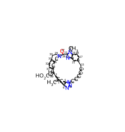 Cc1c2ccc3c1nnn3CCCCCCc1ccc3c(c1)nc(n3C)C(=O)N1CCc3ccc(cc3C1)[C@H]2CC(=O)O